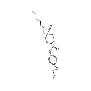 CCCCCCC[C@]1(C#N)CC[C@H](C(=O)Oc2ccc(OCCC)cc2)CC1